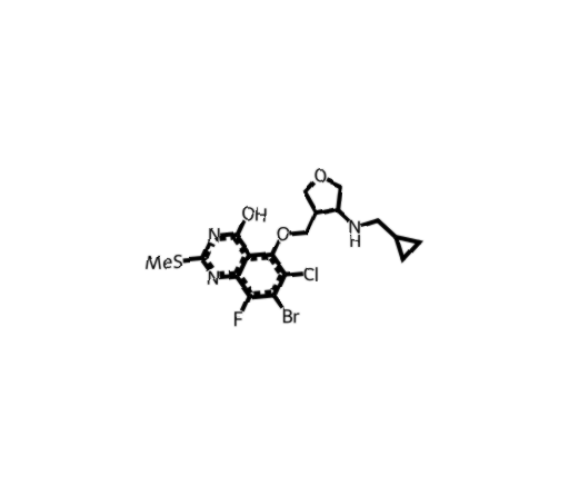 CSc1nc(O)c2c(OCC3COCC3NCC3CC3)c(Cl)c(Br)c(F)c2n1